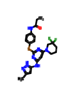 Cc1cc(Nc2cc(N3CCCC(F)(F)C3)nc(Sc3ccc(NC(=O)CC(F)(F)F)cc3)n2)[nH]n1